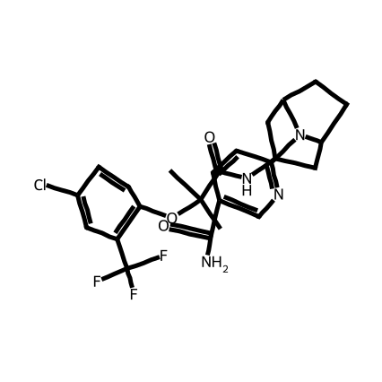 CC(C)(Oc1ccc(Cl)cc1C(F)(F)F)C(=O)NC1CC2CCC(C1)N2c1ccc(C(N)=O)cn1